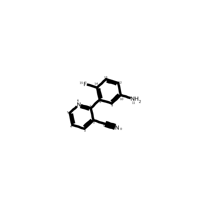 N#Cc1cccnc1-c1cc(N)ccc1F